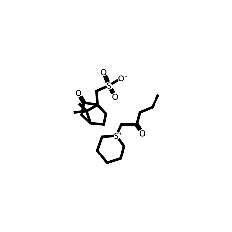 CC1(C)C2CCC1(CS(=O)(=O)[O-])C(=O)C2.CCCC(=O)C[S+]1CCCCC1